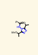 CCC(Nn1c(C(C)OC)nnc1C(C)OC)C(C)C